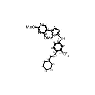 COc1ncc(-c2csc(Nc3ccc(OCC4CCCCC4)c(C(F)(F)F)c3)n2)c(OC)n1